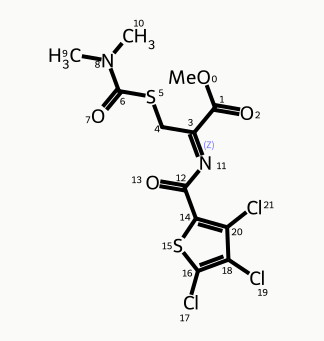 COC(=O)/C(CSC(=O)N(C)C)=N/C(=O)c1sc(Cl)c(Cl)c1Cl